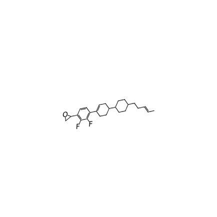 C/C=C/CCC1CCC(C2CC=C(c3ccc(C4CO4)c(F)c3F)CC2)CC1